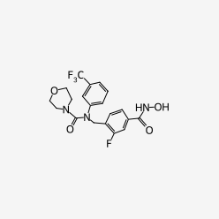 O=C(NO)c1ccc(CN(C(=O)N2CCOCC2)c2cccc(C(F)(F)F)c2)c(F)c1